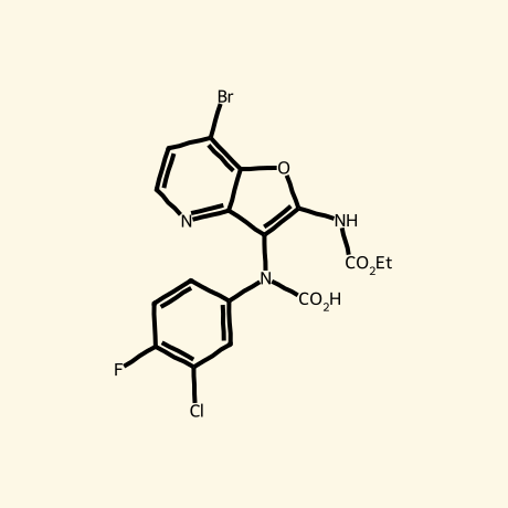 CCOC(=O)Nc1oc2c(Br)ccnc2c1N(C(=O)O)c1ccc(F)c(Cl)c1